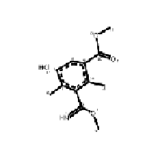 COC(=N)c1c(C)ccc(C(=O)OC)c1C.Cl